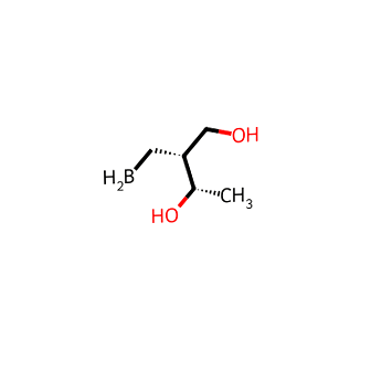 BC[C@H](CO)[C@H](C)O